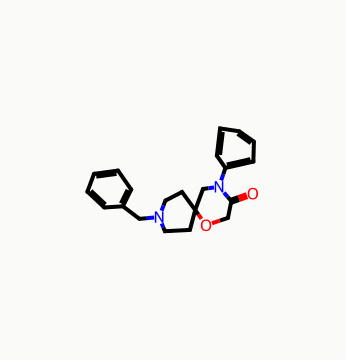 O=C1COC2(CCN(Cc3ccccc3)CC2)CN1c1ccccc1